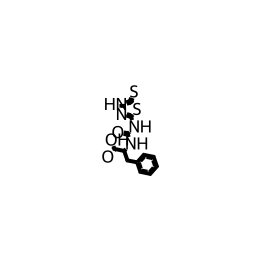 O=C(Nc1n[nH]c(=S)s1)NC(Cc1ccccc1)C(=O)O